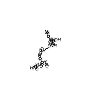 CCN(c1cc(-c2ccc(CN3CCN(C(C=O)CNCCCCCC(=O)N[C@H](C(=O)N4C[C@H](O)C[C@H]4C(=O)NCc4ccc(-c5scnc5C)cc4)C(C)(C)C)CC3)cc2)cc(C(=O)NCc2c(C)cc(C)[nH]c2=O)c1C)C1CCOCC1